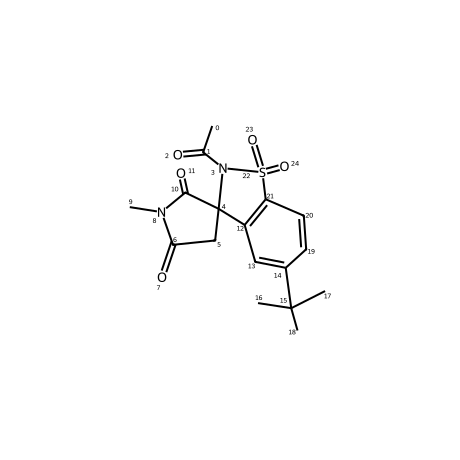 CC(=O)N1C2(CC(=O)N(C)C2=O)c2cc(C(C)(C)C)ccc2S1(=O)=O